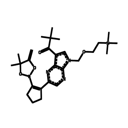 C=C1OB(C2=C(c3cnc4c(n3)c(C(=O)C(C)(C)C)cn4COCC[Si](C)(C)C)CCC2)OC1(C)C